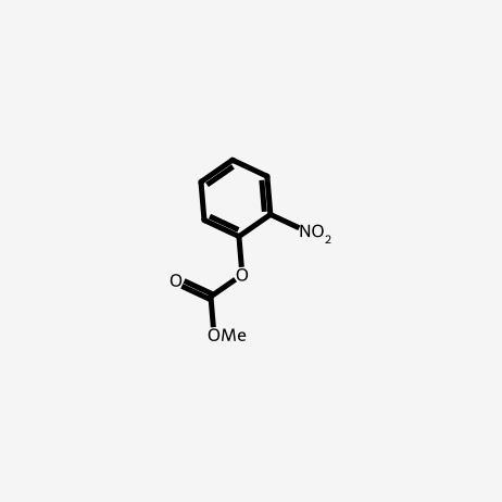 COC(=O)Oc1ccccc1[N+](=O)[O-]